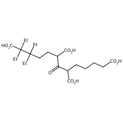 CCC(CC)(CCC(C(=O)O)C(=O)C(CCCCC(=O)O)C(=O)O)C(CC)(CC)C(=O)O